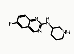 Fc1ccc2nc(NC3CCCNC3)ncc2c1